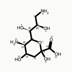 NC[C@@H](O)[C@@H](O)C1OC(O)(C(=O)O)CC(O)[C@H]1N